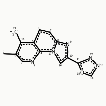 Cc1cnc2c(ccc3nc(-c4nnco4)cn32)c1C(F)(F)F